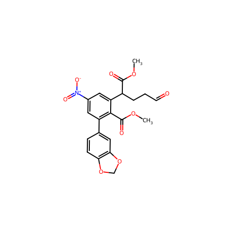 COC(=O)c1c(-c2ccc3c(c2)OCO3)cc([N+](=O)[O-])cc1C(CCC=O)C(=O)OC